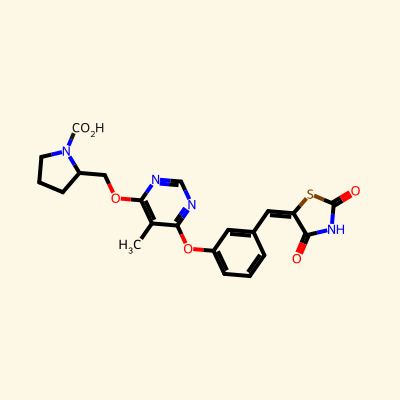 Cc1c(OCC2CCCN2C(=O)O)ncnc1Oc1cccc(/C=C2/SC(=O)NC2=O)c1